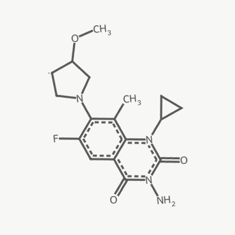 COC1[CH]CN(c2c(F)cc3c(=O)n(N)c(=O)n(C4CC4)c3c2C)C1